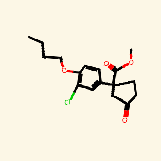 CCCCOc1ccc(C2(C(=O)OC)CCC(=O)C2)cc1Cl